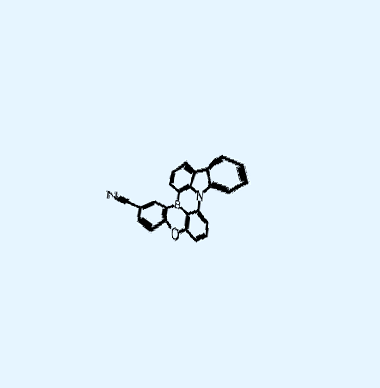 N#Cc1ccc2c(c1)B1c3c(cccc3-n3c4ccccc4c4cccc1c43)O2